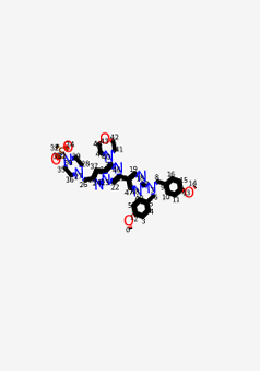 COc1ccc(CN(Cc2ccc(OC)cc2)c2ncc(-c3cn4nc(CN5CCN(S(C)(=O)=O)CC5)cc4c(N4CCOCC4)n3)cn2)cc1